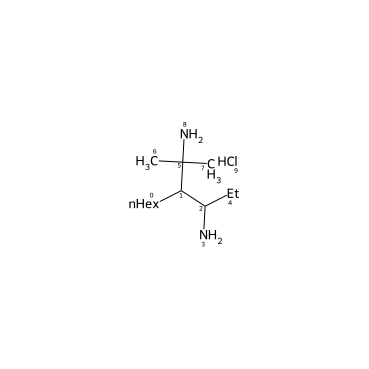 CCCCCCC(C(N)CC)C(C)(C)N.Cl